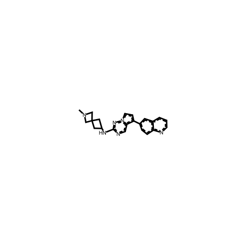 CN1CC2(CC(Nc3ncc4c(-c5ccc6ncccc6c5)ccn4n3)C2)C1